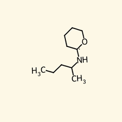 CCCC(C)N[C]1CCCCO1